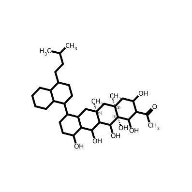 CC(=O)C1C(O)C[C@]2(C)C[C@]3(C)CC4C(C5CCC(CCC(C)C)C6CCCCC65)CCC(O)C4C(O)C3C(O)[C@]2(O)C1O